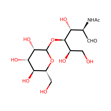 CC(=O)N[C@@H](C=O)[C@@H](O)[C@H](OC1O[C@H](CO)[C@@H](O)[C@H](O)[C@@H]1O)[C@H](O)CO